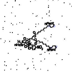 CCCCC/C=C\C/C=C\CCCCCCCC(=O)OCC(COC(=O)CCCCCCC/C=C\C/C=C\CCCCC)COC(=O)C(C)(C)C(CCCCCC)OC(=O)Oc1ccc([N+](=O)[O-])cc1